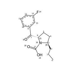 CCC[C@@H]1CC[C@@H](C(=O)c2cccc(F)c2)N1C(=O)O